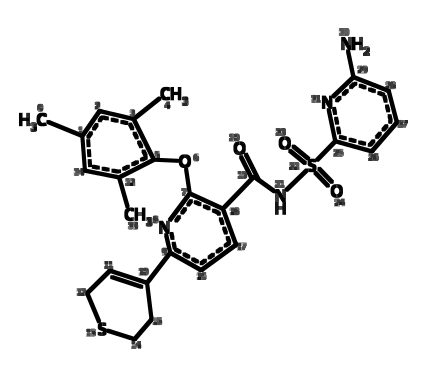 Cc1cc(C)c(Oc2nc(C3=CCSCC3)ccc2C(=O)NS(=O)(=O)c2cccc(N)n2)c(C)c1